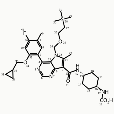 Cc1cc(-c2ncnc3c(C(=O)N[C@H]4CC[C@H](NC(=O)O)CC4)c(C)n(COCC[Si](C)(C)C)c23)c(OCC2CC2)cc1F